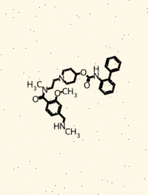 CNCc1ccc(C(=O)N(C)CCN2CCC(OC(=O)Nc3ccccc3-c3ccccc3)CC2)c(OC)c1